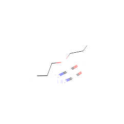 CCCOCCC.N=C=O.N=C=O